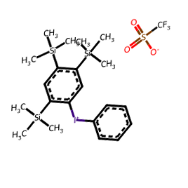 C[Si](C)(C)c1cc([Si](C)(C)C)c([Si](C)(C)C)cc1[I+]c1ccccc1.O=S(=O)([O-])C(F)(F)F